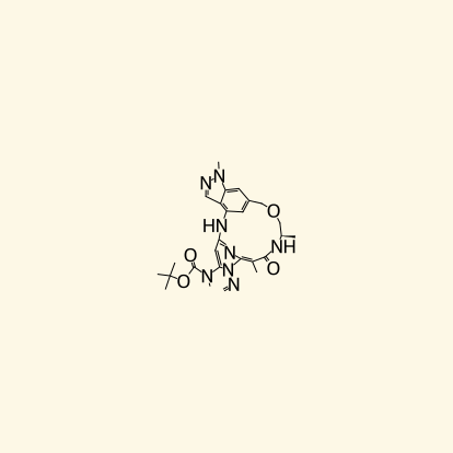 C=NN1C(N(C)C(=O)OC(C)(C)C)=CC2=N/C1=C(/C)C(=O)N[C@H](C)COCc1cc(c3cnn(C)c3c1)N2